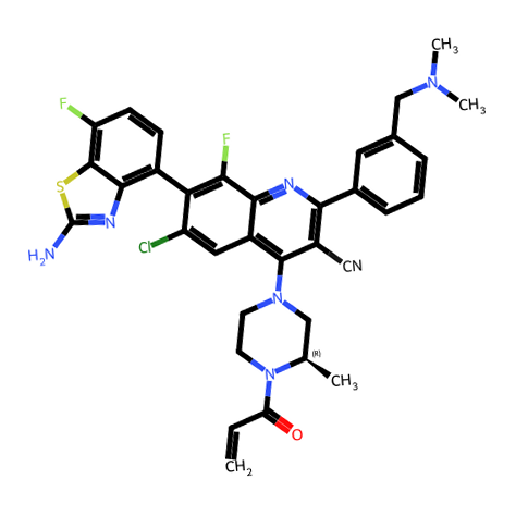 C=CC(=O)N1CCN(c2c(C#N)c(-c3cccc(CN(C)C)c3)nc3c(F)c(-c4ccc(F)c5sc(N)nc45)c(Cl)cc23)C[C@H]1C